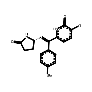 CC(C)(C)c1ccc(/C(=C\[C@@H]2CCC(=O)N2)c2ccc(Cl)c(=O)[nH]2)cc1